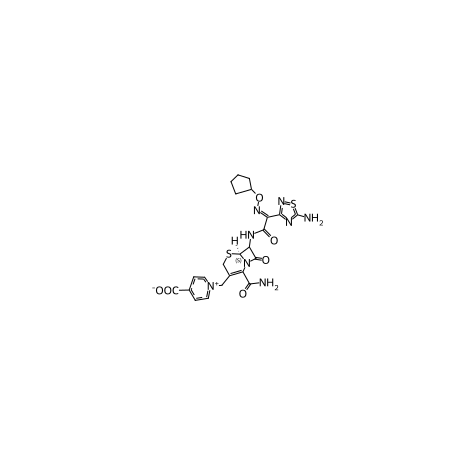 NC(=O)C1=C(C[n+]2ccc(C(=O)[O-])cc2)CS[C@H]2C(NC(=O)C(=NOC3CCCC3)c3nsc(N)n3)C(=O)N12